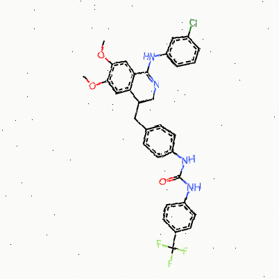 COc1cc2c(cc1OC)C(Cc1ccc(NC(=O)Nc3ccc(C(F)(F)F)cc3)cc1)CN=C2Nc1cccc(Cl)c1